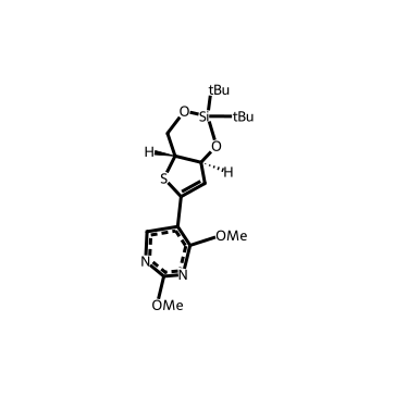 COc1ncc(C2=C[C@@H]3O[Si](C(C)(C)C)(C(C)(C)C)OC[C@H]3S2)c(OC)n1